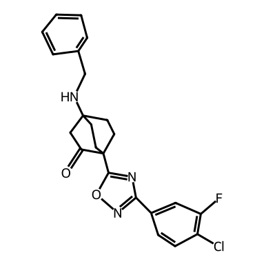 O=C1CC2(NCc3ccccc3)CCC1(c1nc(-c3ccc(Cl)c(F)c3)no1)CC2